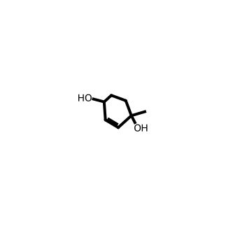 CC1(O)C=CC(O)CC1